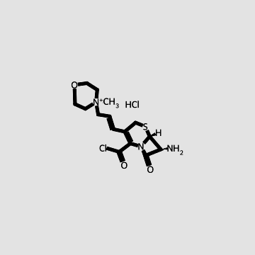 C[N+]1(C/C=C/C2=C(C(=O)Cl)N3C(=O)[C@@H](N)[C@H]3SC2)CCOCC1.Cl